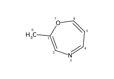 CC1=CN=CC=CO1